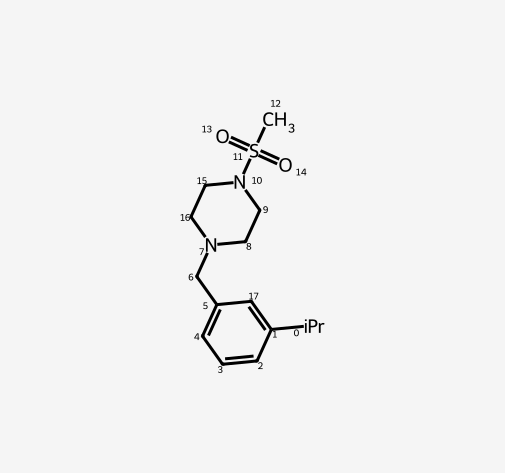 CC(C)c1cccc(CN2CCN(S(C)(=O)=O)CC2)c1